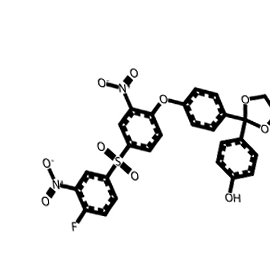 O=[N+]([O-])c1cc(S(=O)(=O)c2ccc(Oc3ccc(C4(c5ccc(O)cc5)OCCO4)cc3)c([N+](=O)[O-])c2)ccc1F